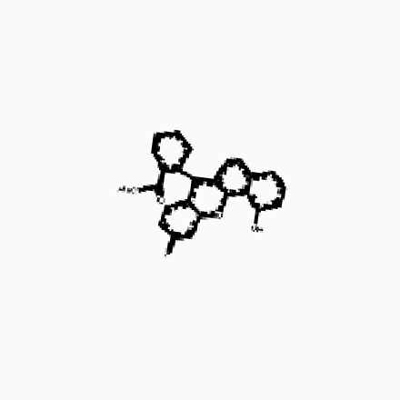 COC(=O)c1ccccc1-c1c2ccc(=O)cc-2oc2c1ccc1cccc(O)c12